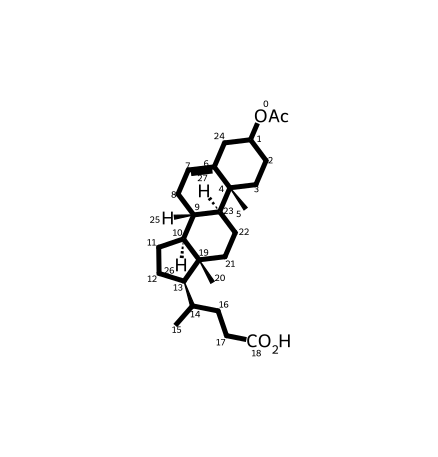 CC(=O)OC1CC[C@@]2(C)C(=CC[C@H]3[C@@H]4CC[C@H](C(C)CCC(=O)O)[C@@]4(C)CC[C@@H]32)C1